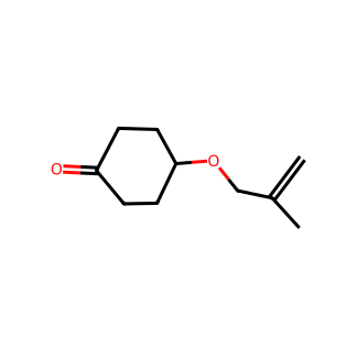 C=C(C)COC1CCC(=O)CC1